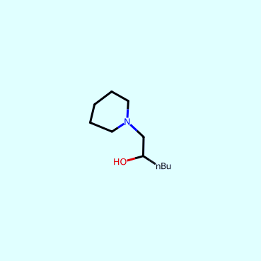 CCCCC(O)CN1CCCCC1